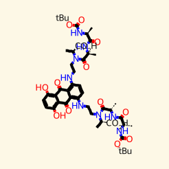 C[C@H](NC(=O)OC(C)(C)C)C(=O)N[C@@H](C)C(=O)N(CCNc1ccc(NCCN(C(=O)[C@H](C)NC(=O)[C@H](C)NC(=O)OC(C)(C)C)[C@@H](C)C(=O)O)c2c1C(=O)c1c(O)ccc(O)c1C2=O)[C@@H](C)C(=O)O